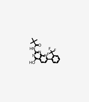 CC(C)(C)C(=O)Nc1nc(O)c2ccc(-c3ccccc3C(F)(F)F)nc2n1